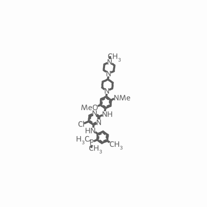 CNc1cc(Nc2ncc(Cl)c(Nc3ccc(C)cc3P(C)C)n2)c(OC)cc1N1CCC(N2CCN(C)CC2)CC1